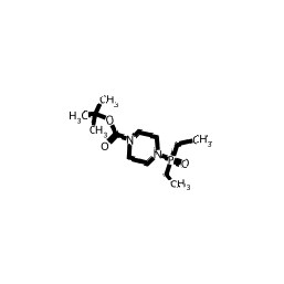 CCP(=O)(CC)N1CCN(C(=O)OC(C)(C)C)CC1